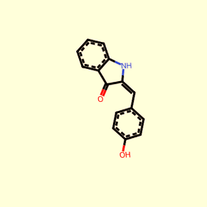 O=C1C(=Cc2ccc(O)cc2)Nc2ccccc21